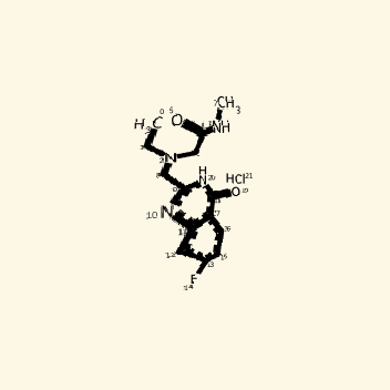 CCN(CC(=O)NC)Cc1nc2cc(F)ccc2c(=O)[nH]1.Cl